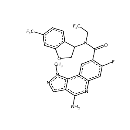 Cn1ncc2c(N)nc3cc(F)c(C(=O)N(CC(F)(F)F)C4COc5cc(C(F)(F)F)ccc54)cc3c21